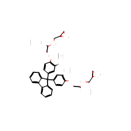 Cc1cc(C2(c3ccc(OCC(C)OCC4CO4)c(C)c3)c3ccccc3-c3ccccc32)ccc1OCC(C)OCC1CO1